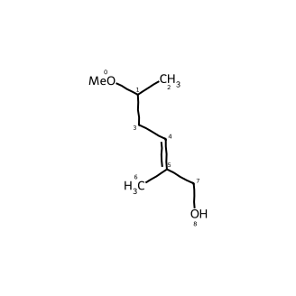 COC(C)C/C=C(\C)CO